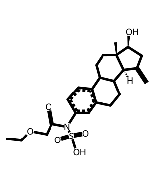 C=C1C[C@H](O)[C@@]2(C)CCC3c4ccc(N(C(=O)COCC)S(=O)(=O)O)cc4CCC3[C@H]12